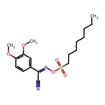 CCCCCCCCS(=O)(=O)ON=C(C#N)c1ccc(OC)c(OC)c1